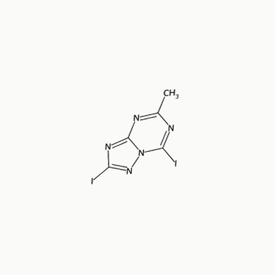 Cc1nc(I)n2nc(I)nc2n1